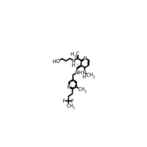 C=C(NCCCO)C1=NC=CC(NC)/C1=C\NCc1cnc(CCC(C)(F)F)c(C)c1